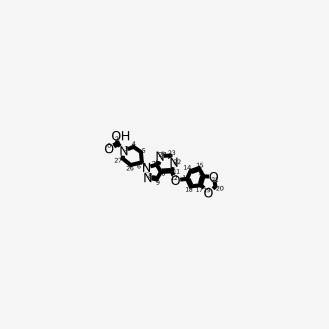 O=C(O)N1CCC(n2ncc3c(Oc4ccc5c(c4)OCO5)ncnc32)CC1